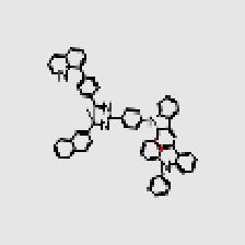 c1ccc(N(c2ccccc2)c2ccccc2-c2ccc3c(c2)c2ccccc2n3-c2ccc(-c3nc(-c4ccc(-c5cccc6cccnc56)cc4)nc(-c4ccc5ccccc5c4)n3)cc2)cc1